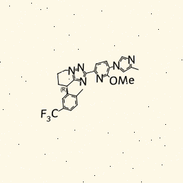 COc1nc(-c2nc3n(n2)CCC[C@@H]3c2cc(C(F)(F)F)ccc2C)ccc1-n1cnc(C)c1